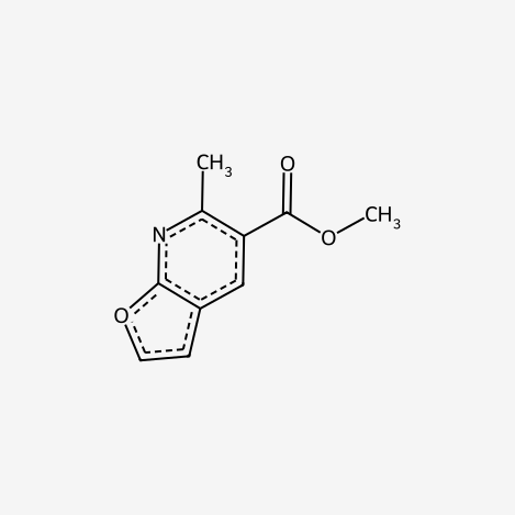 COC(=O)c1cc2ccoc2nc1C